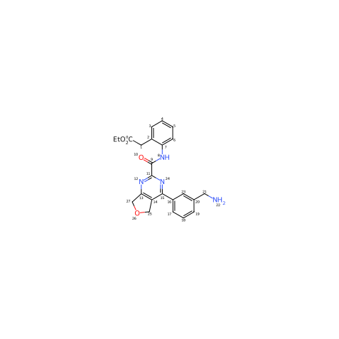 CCOC(=O)Cc1ccccc1NC(=O)c1nc2c(c(-c3cccc(CN)c3)n1)COC2